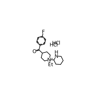 CC[N+]1(C2CCCCN2)CCC(C(=O)c2ccc(F)cc2)CC1.Cl.Cl